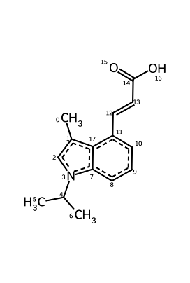 Cc1cn(C(C)C)c2cccc(/C=C/C(=O)O)c12